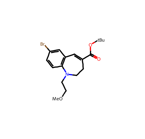 COCCN1CCC(C(=O)OC(C)(C)C)=Cc2cc(Br)ccc21